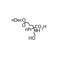 CCCCCCCCCCOC(=O)CCCC(CCC)(NCCO)C(=O)O